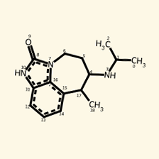 CC(C)NC1CCn2c(=O)[nH]c3cccc(c32)C1C